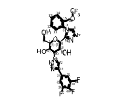 OC[C@H]1O[C@@H](c2nncn2-c2ccccc2OC(F)(F)F)[C@H](O)[C@@H](n2cc(-c3cc(F)c(F)c(F)c3)nn2)[C@H]1O